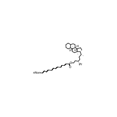 CCCCCCCCCC=CC=CC=CC=CC=CC=CC(=O)OCC[C@H](CC[C@@H](C)[C@H]1CC[C@H]2[C@@H]3CCC4CCCC[C@]4(C)[C@H]3CC[C@]12C)C(C)C